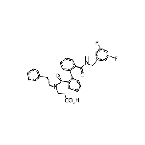 O=C(O)CCN(CCc1ccccc1)C(=O)c1ccccc1-c1ccccc1C(=O)NCc1cc(F)cc(F)c1